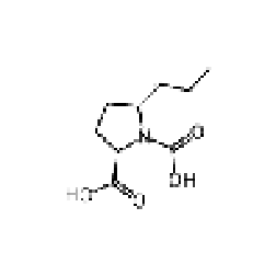 CCC[C@H]1CC[C@H](C(=O)O)N1C(=O)O